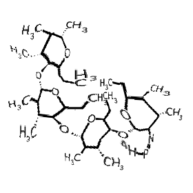 [4H]/P=N\C1[C@H](O[C@@H]2C(CC)O[C@@H](O[C@@H]3C(CC)O[C@@H](O[C@@H]4C(CC)O[C@@H](C)C(C)[C@H]4C)C(C)[C@H]3C)C(C)[C@H]2C)OC(CC)[C@@H](C)[C@@H]1C